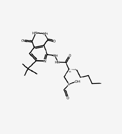 CCCCC[C@H](CN(O)C=O)C(=O)NNc1nc(C(C)(C)C)cc2c(=O)[nH][nH]c(=O)c12